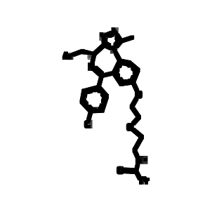 CC(=O)C[C@@H]1N=C(c2ccc(Cl)cc2)c2cc(OCCOCCNC(=O)C(C)C)ccc2-n2c(C)nnc21